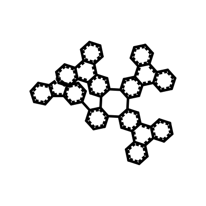 c1cc(-c2ccc3oc4ccccc4c3c2)c2c(c1)-c1cc3c4ccccc4c4ccccc4c3cc1-c1cc3c4ccccc4c4ccccc4c3cc1-c1cc3c4ccccc4c4ccccc4c3cc1-2